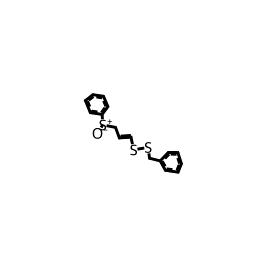 [O-][S+](C/C=C/SSCc1ccccc1)c1ccccc1